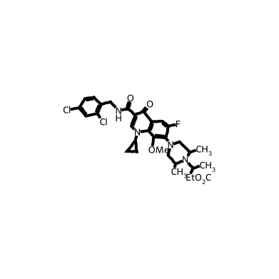 CCOC(=O)C(C)N1C(C)CN(c2c(F)cc3c(=O)c(C(=O)NCc4ccc(Cl)cc4Cl)cn(C4CC4)c3c2OC)CC1C